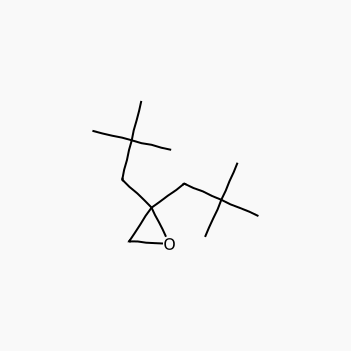 CC(C)(C)CC1(CC(C)(C)C)CO1